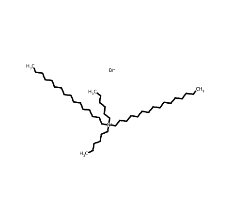 CCCCCCCCCCCCCCCC[N+](CCCCCC)(CCCCCC)CCCCCCCCCCCCCCCC.[Br-]